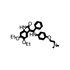 CCOc1cc2c(cc1OCC)C(=C(Nc1ccc(OCCN(C)C)cc1)c1ccccc1)C(=O)N2